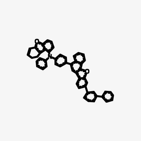 C1=Cc2oc3cccc(N(c4ccccc4)c4ccc(-c5cc6c7ccc(-c8cccc(-c9ccccc9)c8)cc7oc6c6ccccc56)cc4)c3c2CC1